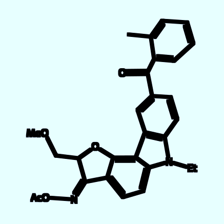 CCn1c2ccc(C(=O)c3ccccc3C)cc2c2c3c(ccc21)/C(=N/OC(C)=O)C(COC)O3